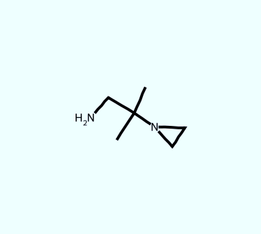 CC(C)(CN)N1CC1